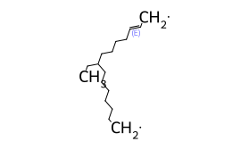 [CH2]/C=C/CCCCC(CC)CCCCCC[CH2]